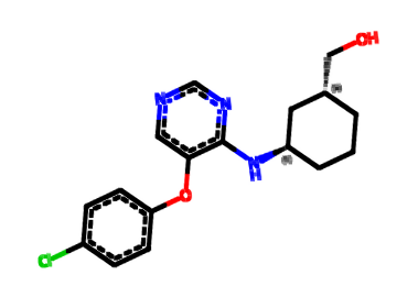 OC[C@@H]1CCC[C@@H](Nc2ncncc2Oc2ccc(Cl)cc2)C1